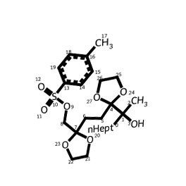 CCCCCCCC(C)(O)C1(CCC2(COS(=O)(=O)c3ccc(C)cc3)OCCO2)OCCO1